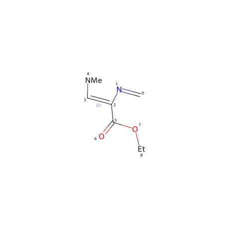 C=N/C(=C\NC)C(=O)OCC